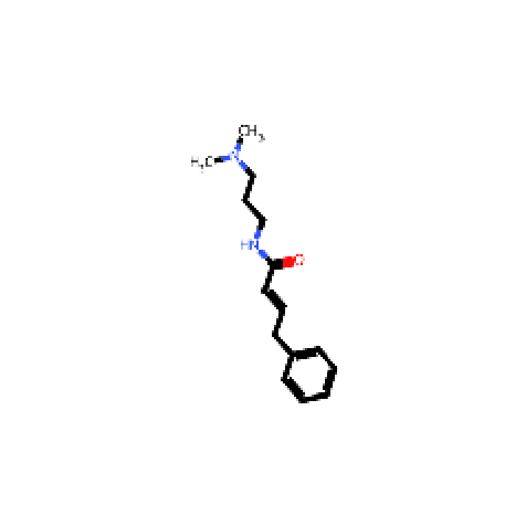 CN(C)CCCNC(=O)C=CCc1ccccc1